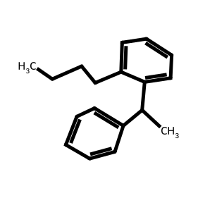 CCCCc1ccccc1C(C)c1ccccc1